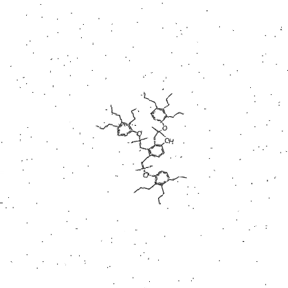 CCCc1ccc(OC(C)(C)Cc2ccc(O)c(CC(C)(C)Oc3ccc(CCC)c(CCC)c3CCC)c2CC(C)(C)Oc2ccc(CCC)c(CCC)c2CCC)c(CCC)c1CCC